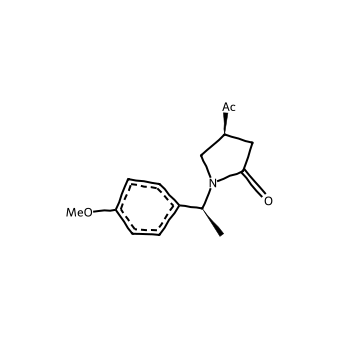 COc1ccc([C@H](C)N2C[C@@H](C(C)=O)CC2=O)cc1